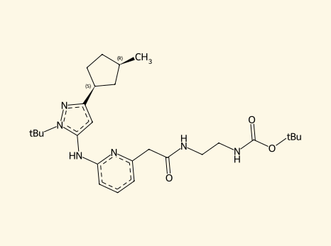 C[C@@H]1CC[C@H](c2cc(Nc3cccc(CC(=O)NCCNC(=O)OC(C)(C)C)n3)n(C(C)(C)C)n2)C1